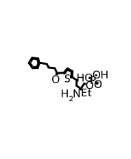 CCC(N)(CCc1ccc(C(=O)CCCc2ccccc2)s1)COP(=O)(O)O